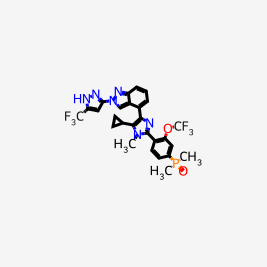 Cn1c(-c2ccc(P(C)(C)=O)cc2OC(F)(F)F)nc(-c2cccc3nn(-c4cc(C(F)(F)F)[nH]n4)cc23)c1C1CC1